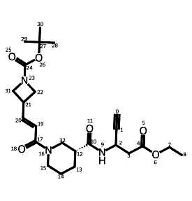 C#CC(CC(=O)OCC)NC(=O)[C@@H]1CCCN(C(=O)/C=C/C2CN(C(=O)OC(C)(C)C)C2)C1